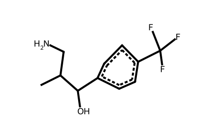 CC(CN)C(O)c1ccc(C(F)(F)F)cc1